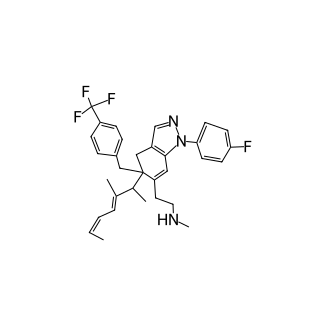 C/C=C\C=C(/C)C(C)C1(Cc2ccc(C(F)(F)F)cc2)Cc2cnn(-c3ccc(F)cc3)c2C=C1CCNC